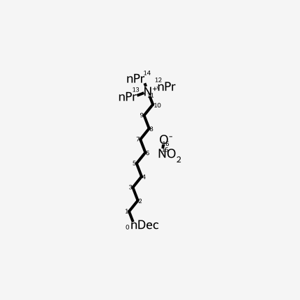 CCCCCCCCCCCCCCCCCCCC[N+](CCC)(CCC)CCC.O=[N+]([O-])[O-]